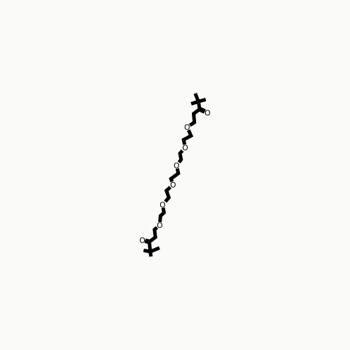 CC(C)(C)C(=O)CCOCCOCCOCCOCCOCCOCCC(=O)C(C)(C)C